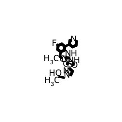 CC(C)c1cc(F)cc(-c2cccnc2)c1NC(=O)NS(=O)(=O)c1ccn(C[C@@H](C)O)n1